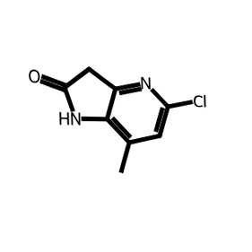 Cc1cc(Cl)nc2c1NC(=O)C2